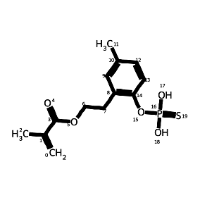 C=C(C)C(=O)OCCc1cc(C)ccc1OP(O)(O)=S